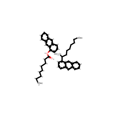 CCCCCCCCCCCCCCCCC(C(=O)O)c1cccc2cc3ccccc3cc12.CCCCCCCCCCCCCCCCCC(=O)Oc1cccc2cc3ccccc3cc12